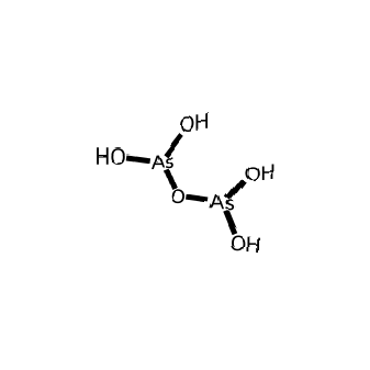 O[As](O)O[As](O)O